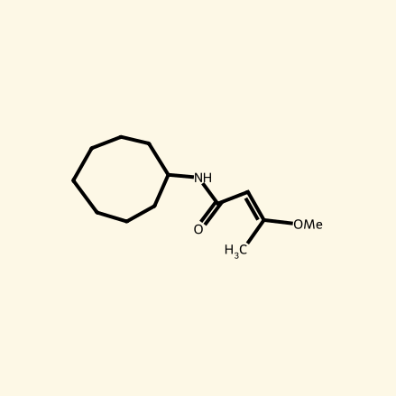 COC(C)=CC(=O)NC1CCCCCCC1